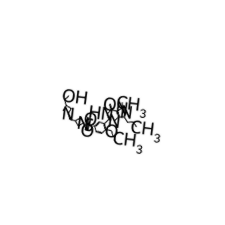 CCCc1nn(C)c2c(=O)[nH]c(-c3cc(S(=O)(=O)N4CC(CN5CC(CO)C5)C4)ccc3OCC)nc12